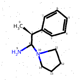 C[C@@H](c1ccccc1)C(N)N1CCCC1